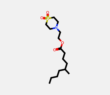 CCCCC(C)CCCC(=O)OCCN1CCS(=O)(=O)CC1